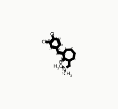 CN(C)CC1CCCCC(=Cc2ccc(Cl)c(Cl)c2)C1=O